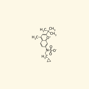 C1CC1.CCN(c1ccc2c(C)cc(C(C)(C)C)[o+]c2c1)S(=O)(=O)[O-]